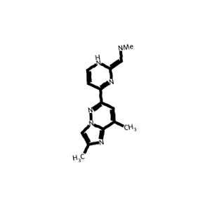 CN/C=C1/N=C(c2cc(C)c3nc(C)cn3n2)C=CN1